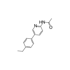 CCc1ccc(-c2ccc(NC(C)=O)nc2)cc1